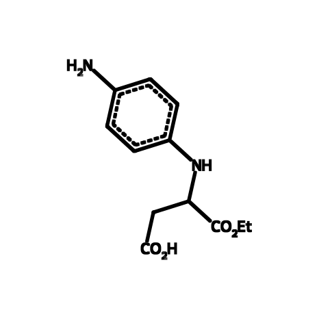 CCOC(=O)C(CC(=O)O)Nc1ccc(N)cc1